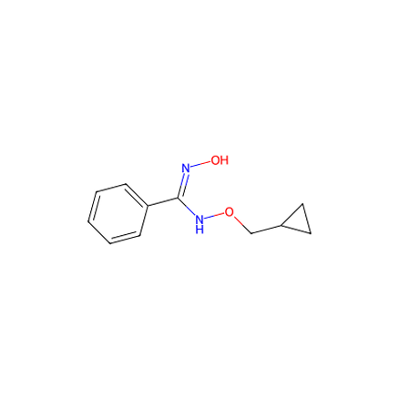 ON=C(NOCC1CC1)c1ccccc1